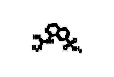 N=C(N)Nc1nccc2ccc(S(N)(=O)=O)cc12